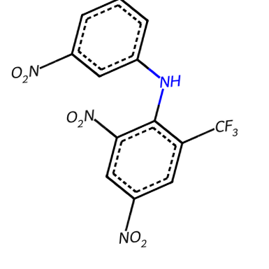 O=[N+]([O-])c1cccc(Nc2c([N+](=O)[O-])cc([N+](=O)[O-])cc2C(F)(F)F)c1